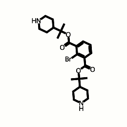 CC(C)(OC(=O)c1cccc(C(=O)OC(C)(C)C2CCNCC2)c1Br)C1CCNCC1